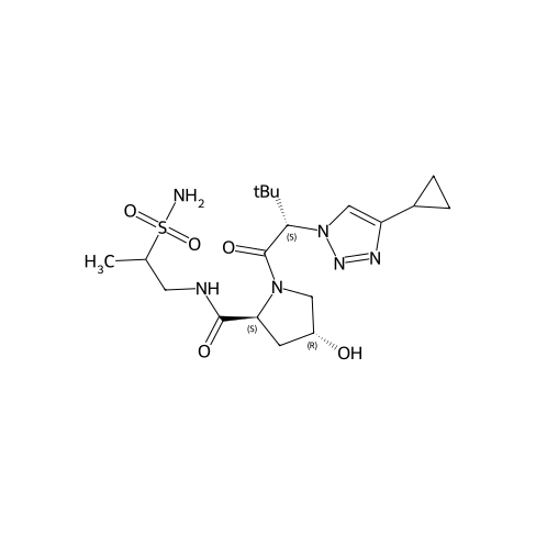 CC(CNC(=O)[C@@H]1C[C@@H](O)CN1C(=O)[C@@H](n1cc(C2CC2)nn1)C(C)(C)C)S(N)(=O)=O